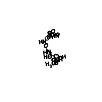 CS(=O)(=O)Nc1cc([C@@H](O)CNCCc2ccc(NC3CCN(C(=O)OC(=O)[C@@H]4CCCN4)CC3)cc2)ccc1O